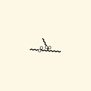 CCCCCCCCC(CCCC(=O)OCCCCCC)C(=O)OCCCCCC